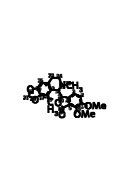 COc1ccc2c(c1OC)C(=O)O[C@@H]2[C@H]1c2c(cc3c(c2C)OCO3)CCN1C